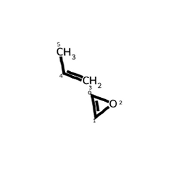 C1=CO1.C=CC